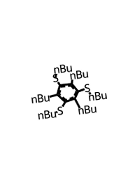 CCCCSc1c(CCCC)c(SCCCC)c(CCCC)c(SCCCC)c1CCCC